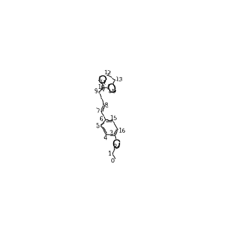 CCOc1ccc(C=CC[C]2OCCO2)cc1